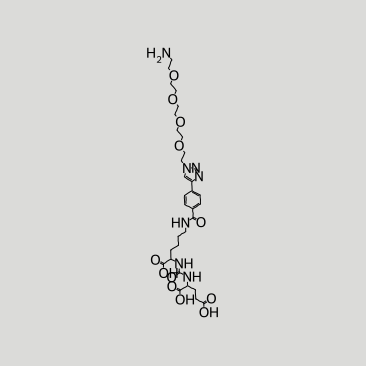 NCCOCCOCCOCCOCCn1cc(-c2ccc(C(=O)NCCCCC(NC(=O)NC(CCC(=O)O)C(=O)O)C(=O)O)cc2)nn1